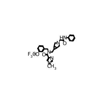 Cn1cnc(C(=O)N(Cc2cccc(OC(F)(F)F)c2)CC2C3CN(CC(=O)Nc4ccccc4)CC32)c1